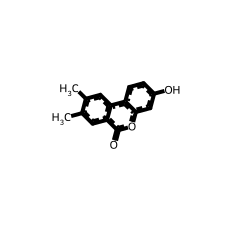 Cc1cc2c(=O)oc3cc(O)ccc3c2cc1C